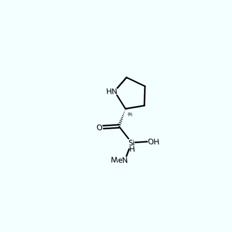 CN[SiH](O)C(=O)[C@H]1CCCN1